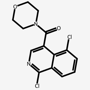 O=C(c1cnc(Cl)c2cccc(Cl)c12)N1CCOCC1